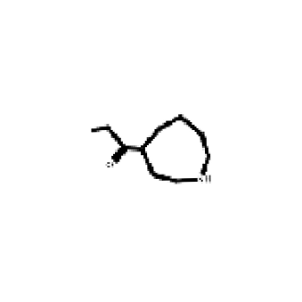 CCC(=O)C1CCCCNCC1